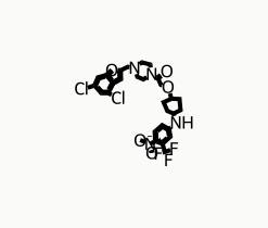 O=C(COC1CCC(Nc2ccc([N+](=O)[O-])c(C(F)(F)F)c2)CC1)N1CCN(Cc2cc3c(Cl)cc(Cl)cc3o2)CC1